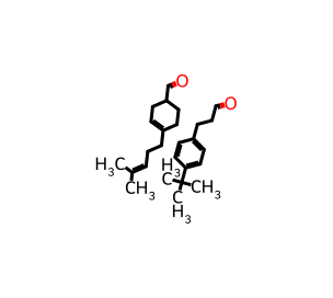 CC(C)(C)c1ccc(CCC=O)cc1.CC(C)=CCCC1=CCC(C=O)CC1